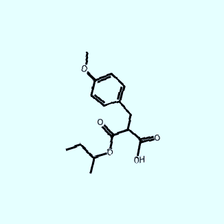 CCC(C)OC(=O)C(Cc1ccc(OC)cc1)C(=O)O